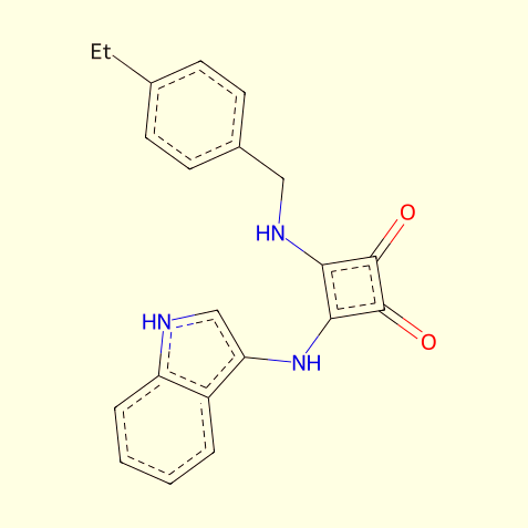 CCc1ccc(CNc2c(Nc3c[nH]c4ccccc34)c(=O)c2=O)cc1